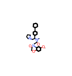 COc1ccc2c(c1)N(CC(=O)N(C)C(CN1CCCC1)c1ccc(-c3ccccc3)cc1)C(=O)CO2